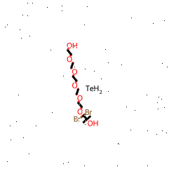 CC(C)(O)C(Br)(Br)OCCOCCOCCOCCOCCO.[TeH2]